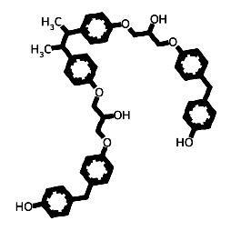 CC(c1ccc(OCC(O)COc2ccc(Cc3ccc(O)cc3)cc2)cc1)C(C)c1ccc(OCC(O)COc2ccc(Cc3ccc(O)cc3)cc2)cc1